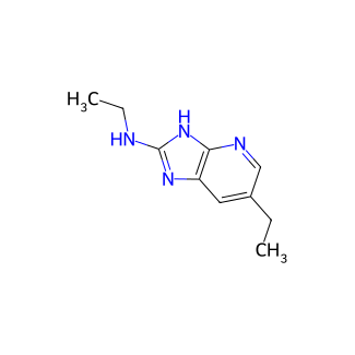 CCNc1nc2cc(CC)cnc2[nH]1